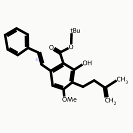 C=C(C)CCc1c(OC)cc(/C=C/c2ccccc2)c(C(=O)OC(C)(C)C)c1O